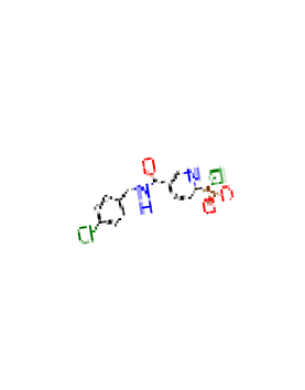 O=C(NCc1ccc(Cl)cc1)c1ccc(S(=O)(=O)Cl)nc1